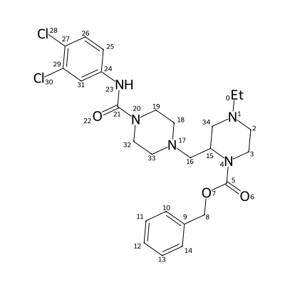 CCN1CCN(C(=O)OCc2ccccc2)C(CN2CCN(C(=O)Nc3ccc(Cl)c(Cl)c3)CC2)C1